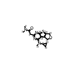 CN(C)C(=O)Cc1nc(N(C)C2CC2)c2c3c(sc2n1)COC3